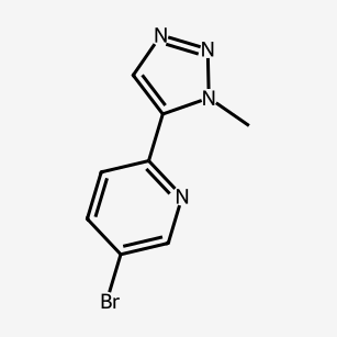 Cn1nncc1-c1ccc(Br)cn1